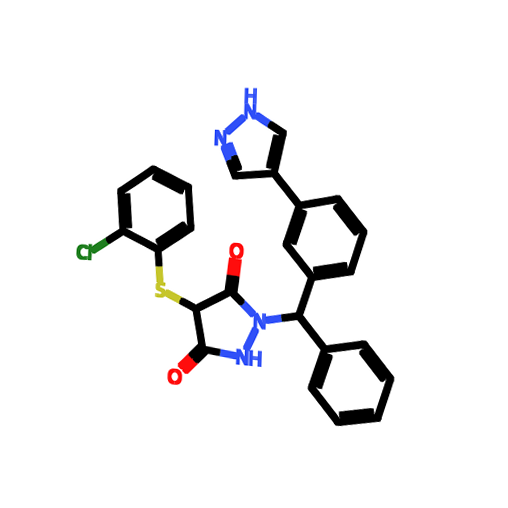 O=C1NN(C(c2ccccc2)c2cccc(-c3cn[nH]c3)c2)C(=O)C1Sc1ccccc1Cl